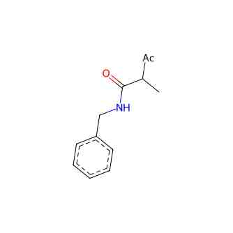 CC(=O)C(C)C(=O)NCc1ccccc1